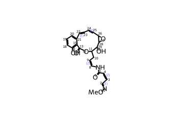 CO/N=C/C=C\C(=O)N/C=C\CC1OC(=O)c2c(O)cccc2/C=C/C=C\C2OC2C1O